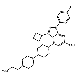 COCCN1CCN(C2CCN(c3cc(C(=O)O)nc4c3c(C3CCC3)nn4-c3ccc(F)cc3)CC2)CC1